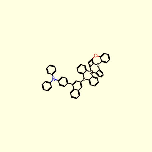 c1ccc(N(c2ccccc2)c2ccc(-c3cc(B4c5ccccc5[Si]5(c6ccccc64)c4ccccc4B4c6ccccc6Oc6cccc5c64)cc4ccccc34)cc2)cc1